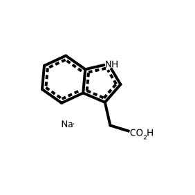 O=C(O)Cc1c[nH]c2ccccc12.[Na]